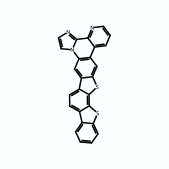 c1ccc2c(c1)sc1c2ccc2c3cc4c(cc3sc21)c1cccnc1c1nccn41